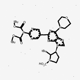 CC(C)(C)OC(=O)N(C(=O)OC(C)(C)C)c1ncc(-c2nc(N3CCOCC3)c3ncn([C@H]4CCN(C(=O)O)C4C(C)(C)C)c3n2)cn1